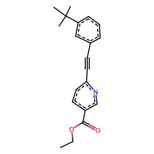 CCOC(=O)c1ccc(C#Cc2cccc(C(C)(C)C)c2)nc1